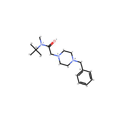 CN(C(=O)CN1CCN(Cc2ccccc2)CC1)C(C)(C)C